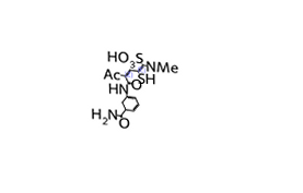 CN/C(=C(S)/C=C(/C(C)=O)C(=O)NC1=CC=CC(C(N)=O)C1)S(=O)(=O)O